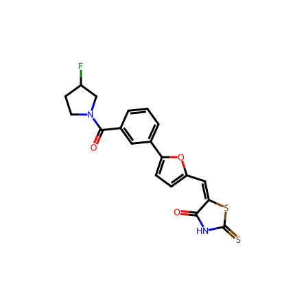 O=C1NC(=S)SC1=Cc1ccc(-c2cccc(C(=O)N3CCC(F)C3)c2)o1